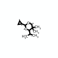 CC(C)C1OC(C2CC2)OCC1(C)C